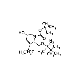 CC(C)C1=CC(O)CN(C(=O)OC(C)(C)C)C1CO[Si](C)(C)C(C)(C)C